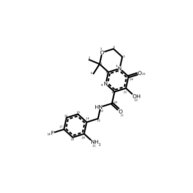 CC1(C)OCCn2c1nc(C(=O)NCc1ccc(F)cc1N)c(O)c2=O